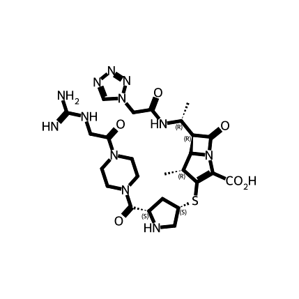 C[C@H]1C(S[C@@H]2CN[C@H](C(=O)N3CCN(C(=O)CNC(=N)N)CC3)C2)=C(C(=O)O)N2C(=O)[C@H]([C@@H](C)NC(=O)Cn3cnnn3)C12